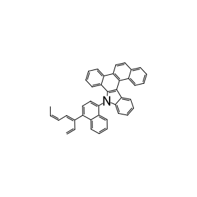 C=C/C(=C\C=C/C)c1ccc(-n2c3ccccc3c3c4c5ccccc5ccc4c4ccccc4c32)c2ccccc12